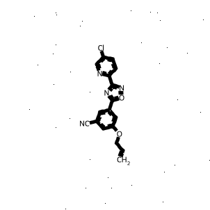 C=CCOc1cc(C#N)cc(-c2nc(-c3ccc(Cl)cn3)no2)c1